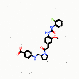 COc1cc(CC(=O)N2CCC[C@H]2CNc2ccc(C(=O)O)cc2)ccc1NC(=O)Nc1ccccc1F